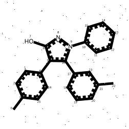 Cc1ccc(-c2c(O)nn(-c3ccccc3)c2-c2cccc(C)c2)cc1